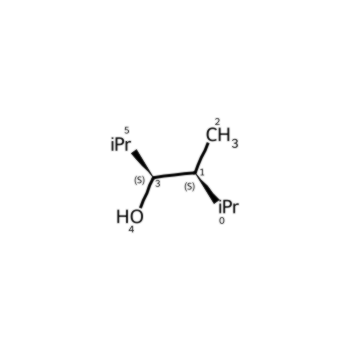 CC(C)[C@H](C)[C@@H](O)C(C)C